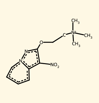 C[N+](C)(C)CCOc1nn2ccccc2c1[N+](=O)[O-]